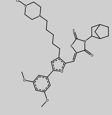 COc1cc(OC)cc(-c2cc(CCCCCN3CCN(Cl)CC3)c(/C=C3\SC(=S)N(C4CC5CCC4C5)C3=O)o2)c1